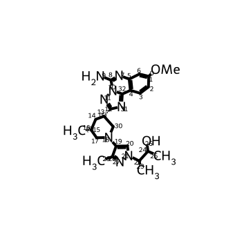 COc1ccc2c(c1)nc(N)n1nc([C@H]3C[C@@H](C)CN(c4cn(C(C)C(C)O)nc4C)C3)nc21